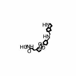 O=C(C=Cc1ccn(S(=O)(=O)c2ccc(CNCc3ccc4[nH]ccc4c3)cc2)c1)NO